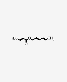 C/C=C/C=C/COC(=O)/C=C/C(C)CC